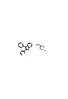 CN1CCC(CCOc2ccc3c(c2)C(=O)C(c2cccnc2)=C3c2ccccc2)CC1